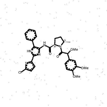 COc1ccc(C(OC)C(=O)N2[C@@H](C(=O)Nc3nc(-c4ccc(Cl)s4)[nH]c3-c3ccccc3)CC[C@@H]2C)cc1OC